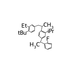 CCc1cc(CC(C)c2ccc(C(C)c3ccccc3F)cc2C(C)C)ccc1C(C)(C)C